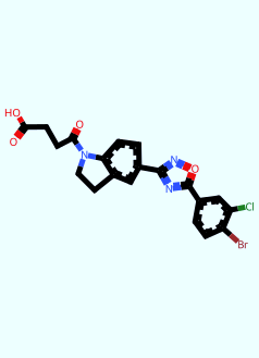 O=C(O)CCC(=O)N1CCc2cc(-c3noc(-c4ccc(Br)c(Cl)c4)n3)ccc21